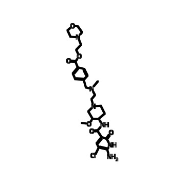 CO[C@H]1CN(CCN(C)Cc2ccc(C(=O)OCCN3CCOCC3)cc2)CC[C@H]1NC(=O)c1cc(Cl)c(N)[nH]c1=O